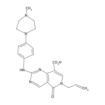 C=CCn1cc(C(=O)O)c2nc(Nc3ccc(N4CCN(C)CC4)cc3)ncc2c1=O